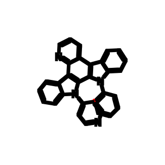 c1ccc(-n2c3ccccc3c3c4cccnc4c4c5ccccc5n(-c5ccncc5)c4c32)cc1